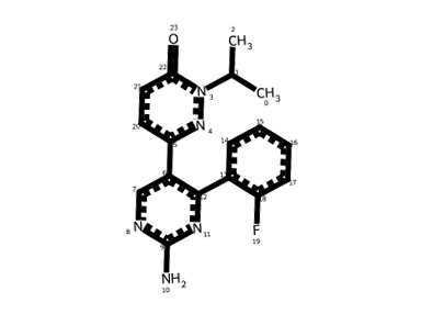 CC(C)n1nc(-c2cnc(N)nc2-c2ccccc2F)ccc1=O